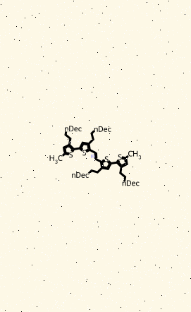 CCCCCCCCCCCCc1cc(-c2sc(C)cc2CCCCCCCCCCCC)sc1/C=C/c1sc(-c2sc(C)cc2CCCCCCCCCCCC)cc1CCCCCCCCCCCC